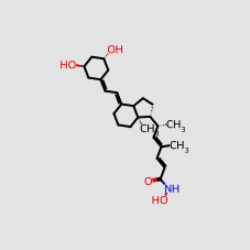 CC(/C=C/C(=O)NO)=C\[C@@H](C)[C@H]1CCC2/C(=C/C=C3C[C@@H](O)C[C@H](O)C3)CCC[C@@]21C